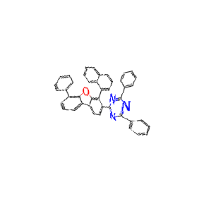 c1ccc(-c2nc(-c3ccccc3)nc(-c3ccc4c(oc5c(-c6ccccc6)cccc54)c3-c3cccc4ccccc34)n2)cc1